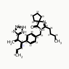 C=C/C=C(\C(=C)c1nn[nH]n1)c1ccc(CN2C(=O)C3(CCCC3)N=C2CCCC)cc1